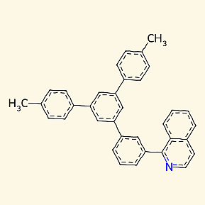 Cc1ccc(-c2cc(-c3ccc(C)cc3)cc(-c3cccc(-c4nccc5ccccc45)c3)c2)cc1